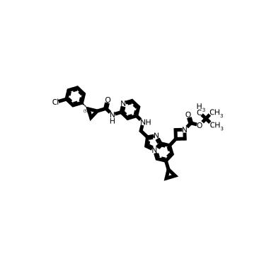 CC(C)(C)OC(=O)N1CC(c2cc(C3CC3)cn3cc(CNc4ccnc(NC(=O)C5C[C@@H]5c5cccc(Cl)c5)c4)nc23)C1